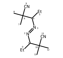 CCC(N=NC(CC)C(C)(C)C#N)C(C)(C)C#N